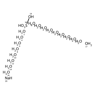 O.O.O.O.O.O.O.O.O.O.O.O.O.O.O.O.O.O.O=S(=O)(O)O.[NaH]